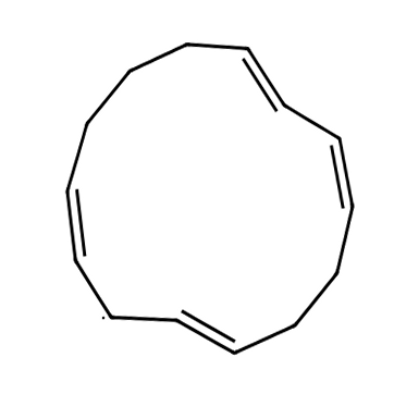 [CH]1/C=C\CCC/C=C/C=C\CC/C=C/1